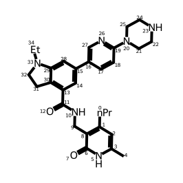 CCCc1cc(C)[nH]c(=O)c1CNC(=O)c1cc(-c2ccc(N3CCNCC3)nc2)cc2c1CCN2CC